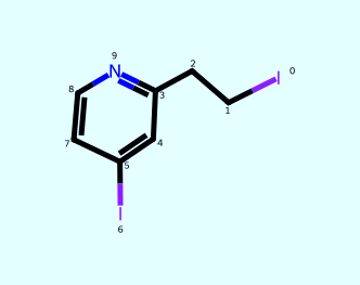 ICCc1cc(I)ccn1